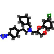 Nc1ccc(CCN(Cc2ccccc2)CC2COc3ccc(Cl)cc3O2)cc1